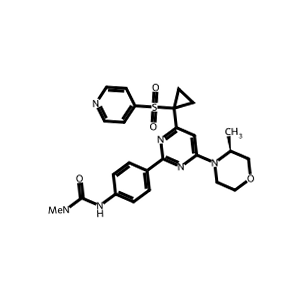 CNC(=O)Nc1ccc(-c2nc(N3CCOC[C@@H]3C)cc(C3(S(=O)(=O)c4ccncc4)CC3)n2)cc1